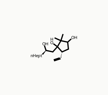 C=C[C@H]1CC(O)C(C)(C)C1(O)C[C@H](O)CCCCCCC